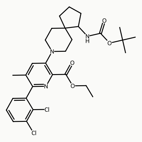 CCOC(=O)c1nc(-c2cccc(Cl)c2Cl)c(C)cc1N1CCC2(CCCC2NC(=O)OC(C)(C)C)CC1